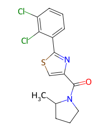 CC1CCCN1C(=O)c1csc(-c2cccc(Cl)c2Cl)n1